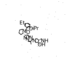 CCc1ccc(OC(C)C)c(C(=O)N2CCCC[C@H]2c2cc3nc(N4C[C@@H](C=N)[C@@H](O)C4)c(C)cn3n2)c1